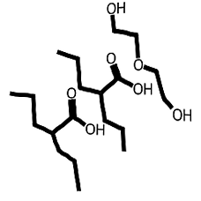 CCCC(CCC)C(=O)O.CCCC(CCC)C(=O)O.OCCOCCO